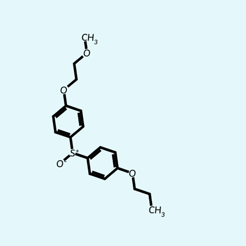 CCCOc1ccc([S+]([O-])c2ccc(OCCOC)cc2)cc1